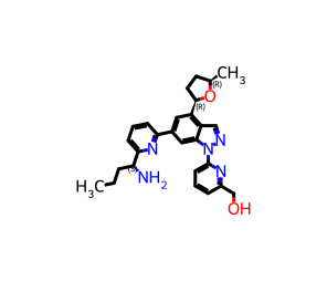 CCC[C@H](N)c1cccc(-c2cc([C@H]3CC[C@@H](C)O3)c3cnn(-c4cccc(CO)n4)c3c2)n1